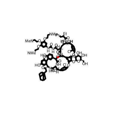 CC[C@H](CC(C)C)C(=O)N[C@H]1C(=O)C[C@@H](CC(=O)NC(=O)Nc2cc(OCCNC)c(OCCNC)c(OCCNC)c2)C(=O)N[C@H]2C(=O)C[C@H]3C(=O)N[C@H](C(=O)N[C@H](C(=O)CC4C5CC6CC(C5)CC4C6)c4cc(O)cc(O)c4-c4cc3ccc4O)[C@H](O)c3ccc(c(Cl)c3)Oc3cc2cc(c3O[C@@H]2O[C@H](CO)[C@@H](O)[C@H](O)[C@H]2O)Oc2ccc(cc2Cl)[C@H]1O